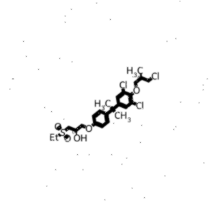 CCS(=O)(=O)C[C@@H](O)COc1ccc(C(C)(C)c2cc(Cl)c(OC[C@@H](C)CCl)c(Cl)c2)cc1